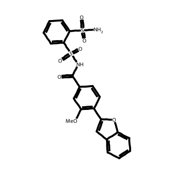 COc1cc(C(=O)NS(=O)(=O)c2ccccc2S(N)(=O)=O)ccc1-c1cc2ccccc2o1